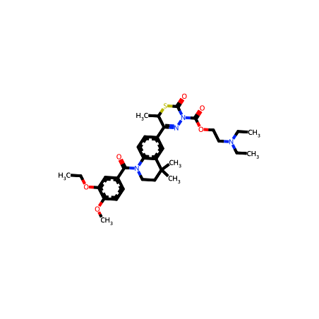 CCOc1cc(C(=O)N2CCC(C)(C)c3cc(C4=NN(C(=O)OCCN(CC)CC)C(=O)SC4C)ccc32)ccc1OC